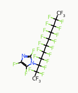 Fc1nc(F)n(C(F)(C(F)(F)C(F)(F)F)C(F)(F)C(F)(F)C(F)(F)C(F)(F)C(F)(F)C(F)(F)C(F)(F)C(F)(F)F)c1F